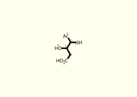 CC(=O)C(S)C(O)CC(=O)O